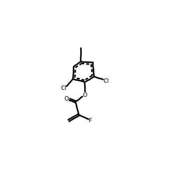 C=C(F)C(=O)Oc1c(Cl)cc(C)cc1Cl